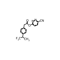 CC(c1ccc(CC(=O)Oc2ccc(C#N)nn2)cc1)C(F)(F)F